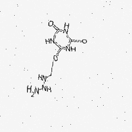 CCNNN.O=c1[nH]c(=O)[nH]c(=O)[nH]1